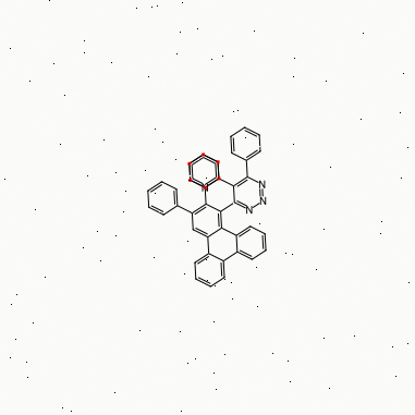 c1ccc(-c2cc3c4ccccc4c4ccccc4c3c(-c3nnnc(-c4ccccc4)c3-c3ccccn3)c2-c2ccccc2)cc1